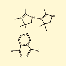 CC1=[N+](C)C(C)(C)CN1.CC1=[N+](C)C(C)(C)CN1.O=C([O-])c1ccccc1C(=O)[O-]